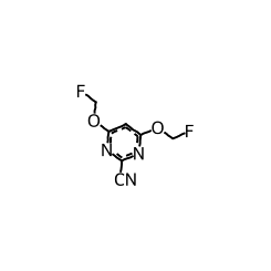 N#Cc1nc(OCF)cc(OCF)n1